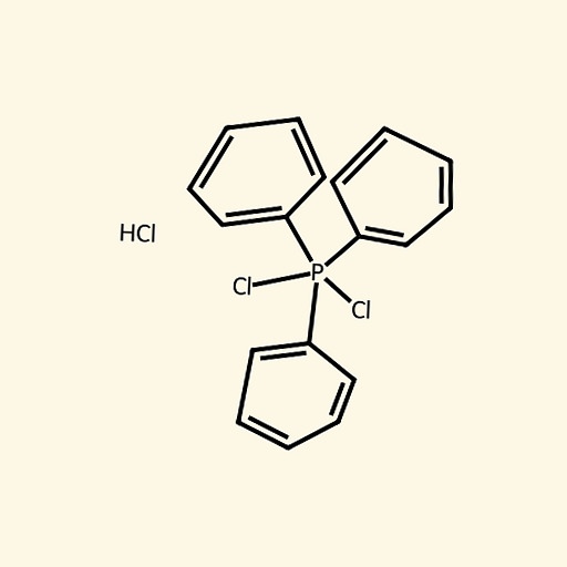 Cl.ClP(Cl)(c1ccccc1)(c1ccccc1)c1ccccc1